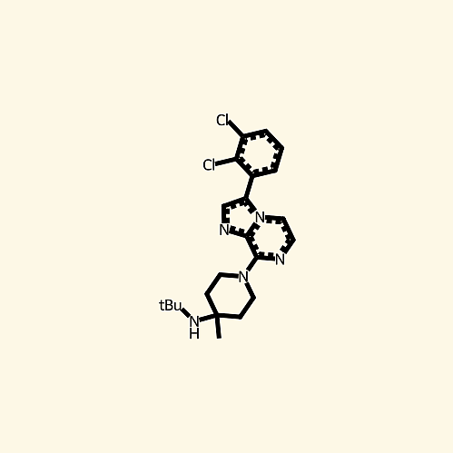 CC(C)(C)NC1(C)CCN(c2nccn3c(-c4cccc(Cl)c4Cl)cnc23)CC1